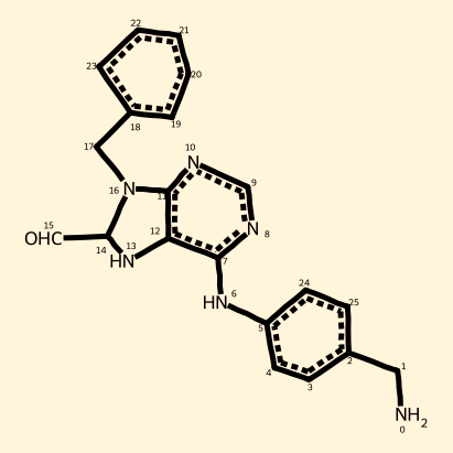 NCc1ccc(Nc2ncnc3c2NC(C=O)N3Cc2ccccc2)cc1